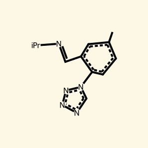 Cc1ccc(-n2cnnn2)c(C=NC(C)C)c1